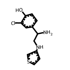 N[C](CNc1ccsc1)c1ccc(O)c(Cl)c1